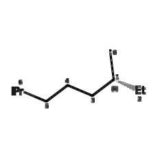 [CH2][C@H](CC)CCCC(C)C